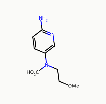 COCCN(C(=O)O)c1ccc(N)nc1